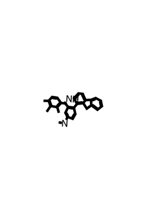 Cc1ccc(C(=N)c2cc(N(C)C)ccc2-c2cccc3c2Cc2ccccc2-3)c(C)c1C